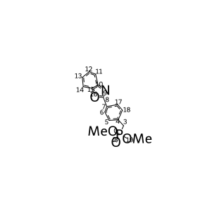 COP(=O)(Cc1ccc(-c2nc3ccccc3o2)cc1)OC